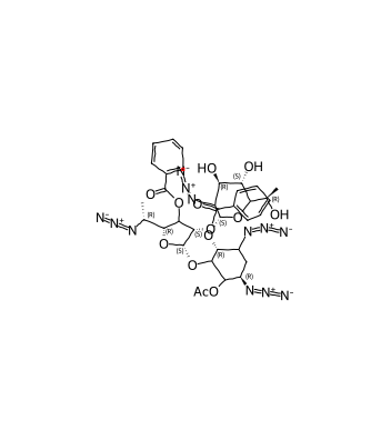 CC(=O)OC1C(O[C@@H]2O[C@H]([C@@H](C)N=[N+]=[N-])C(OC(=O)c3ccccc3)[C@@H]2OC(=O)c2ccccc2)[C@H](O[C@H]2OC([C@@H](C)O)[C@@H](O)[C@H](O)C2N=[N+]=[N-])C(N=[N+]=[N-])C[C@H]1N=[N+]=[N-]